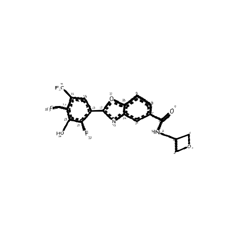 O=C(NC1COC1)c1ccc2oc(-c3cc(C(F)(F)F)c(F)c(O)c3F)nc2c1